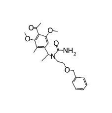 COc1cc(C(C)N(CCOCc2ccccc2)C(N)=O)c(C)c(OC)c1C(C)=O